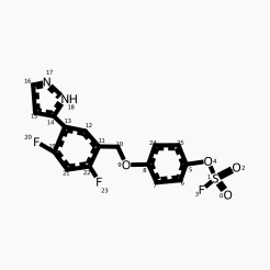 O=S(=O)(F)Oc1ccc(OCc2cc(-c3ccn[nH]3)c(F)cc2F)cc1